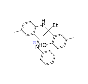 CCC(C)(Pc1ccc(C)cc1/C=N/c1ccccc1)c1cc(C)ccc1O